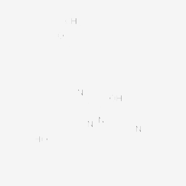 COc1ccc(C[n+]2cc3ccccc3c3nn(-c4cnc5ccccc5c4)c(O)c32)cc1.[OH-]